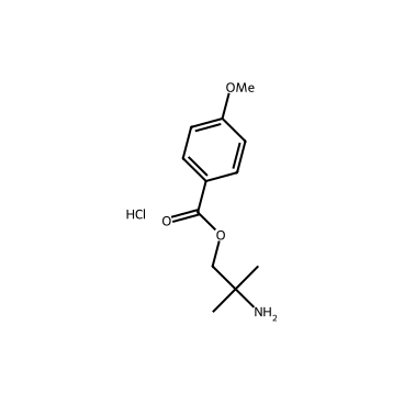 COc1ccc(C(=O)OCC(C)(C)N)cc1.Cl